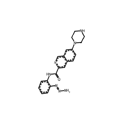 NN=Nc1ccccc1NC(=O)c1cc2ccc(N3CCNCC3)cc2cn1